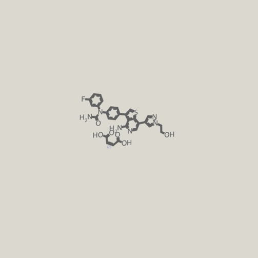 NC(=O)N(c1ccc(-c2csc3c(-c4cnn(CCO)c4)cnc(N)c23)cc1)c1cccc(F)c1.O=C(O)/C=C\C(=O)O